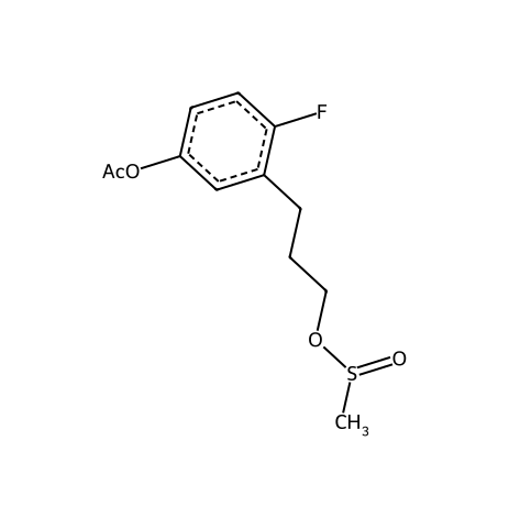 CC(=O)Oc1ccc(F)c(CCCOS(C)=O)c1